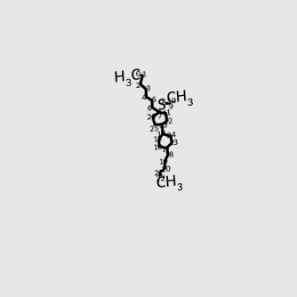 CCCCCCCC1(SCC)CCC(C2CCC(CCCCC)CC2)CC1